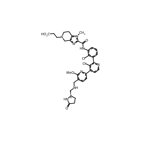 COc1nc(-c2ccnc(-c3cccc(NC(=O)c4nc5c(n4C)CCN(CCC(=O)O)C5)c3Cl)c2Cl)ccc1CNC[C@H]1CCC(=O)N1